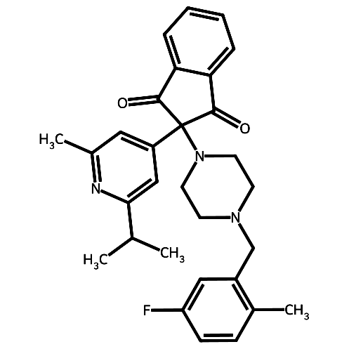 Cc1cc(C2(N3CCN(Cc4cc(F)ccc4C)CC3)C(=O)c3ccccc3C2=O)cc(C(C)C)n1